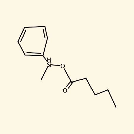 CCC[CH]C(=O)O[SiH](C)c1ccccc1